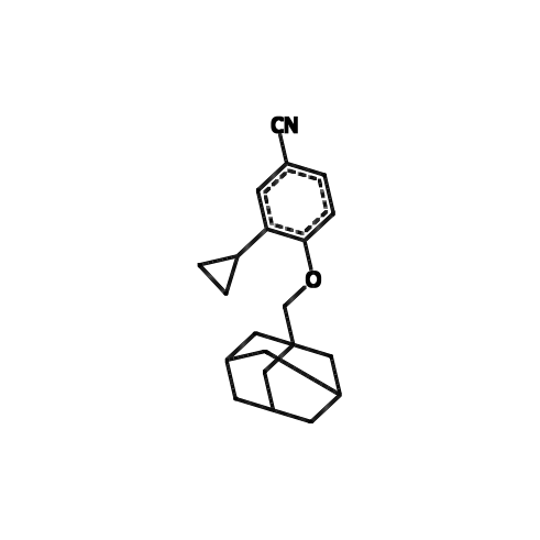 N#Cc1ccc(OCC23CC4CC(CC(C4)C2)C3)c(C2CC2)c1